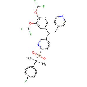 CC(C)(c1ccc(F)cc1)S(=O)(=O)c1ccc(C(Cc2ccncc2)c2ccc(OC(F)F)c(OC(F)F)c2)cn1